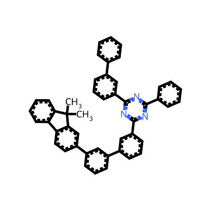 CC1(C)c2ccccc2-c2ccc(-c3cccc(-c4cccc(-c5nc(-c6ccccc6)nc(-c6cccc(-c7ccccc7)c6)n5)c4)c3)cc21